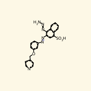 NN=Nc1c(/N=N/c2cccc(OCc3ccncc3)c2)cc(S(=O)(=O)O)c2ccccc12